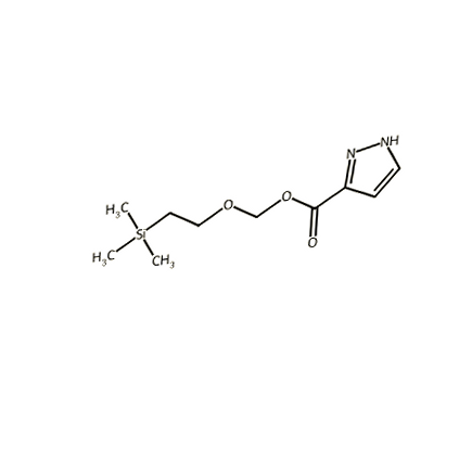 C[Si](C)(C)CCOCOC(=O)c1cc[nH]n1